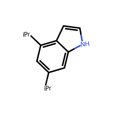 CC(C)c1cc(C(C)C)c2cc[nH]c2c1